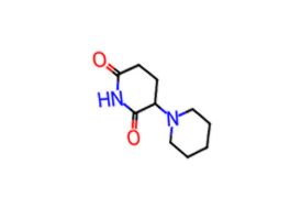 O=C1CCC(N2CCCCC2)C(=O)N1